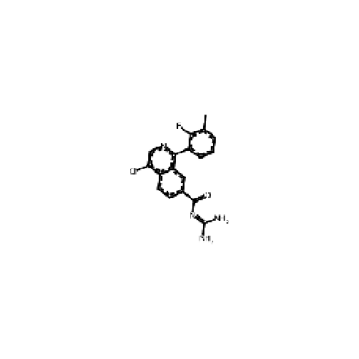 Cc1cccc(-c2ncc(Cl)c3ccc(C(=O)N=C(N)N)cc23)c1F